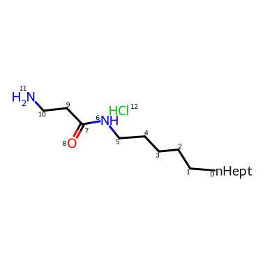 CCCCCCCCCCCCNC(=O)CCN.Cl